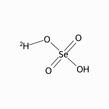 [2H]O[Se](=O)(=O)O